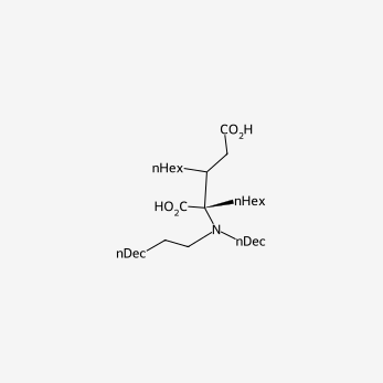 CCCCCCCCCCCCN(CCCCCCCCCC)[C@](CCCCCC)(C(=O)O)C(CCCCCC)CC(=O)O